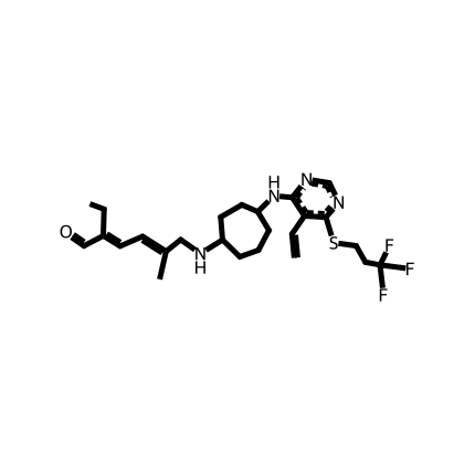 C=Cc1c(NC2CCCC(NC/C(C)=C/C=C(/C=O)CC)CC2)ncnc1SCCC(F)(F)F